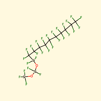 FC(F)(F)C(F)(F)C(F)(F)C(F)(F)C(F)(F)C(F)(F)C(F)(F)C(F)(F)C(F)(F)C(F)(F)[Si](F)(F)O[Si](F)(F)O[Si](F)(F)F